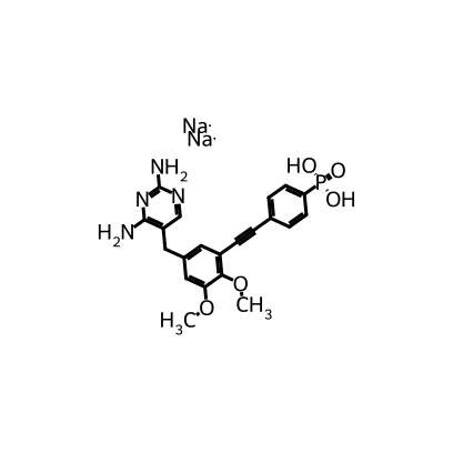 COc1cc(Cc2cnc(N)nc2N)cc(C#Cc2ccc(P(=O)(O)O)cc2)c1OC.[Na].[Na]